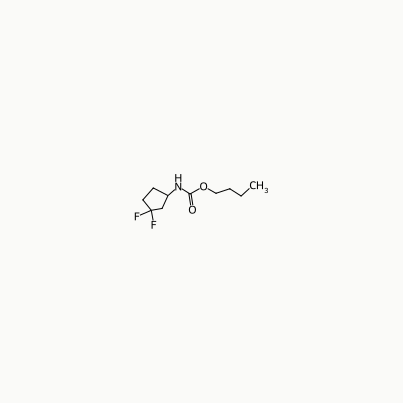 CCCCOC(=O)NC1CCC(F)(F)C1